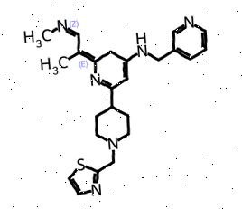 C/N=C\C(C)=C1/CC(NCc2cccnc2)=CC(C2CCN(Cc3nccs3)CC2)=N1